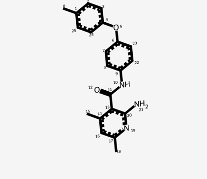 Cc1ccc(Oc2ccc(NC(=O)c3c(C)cc(C)nc3N)cc2)cc1